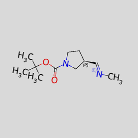 C/N=C/[C@@H]1CCN(C(=O)OC(C)(C)C)C1